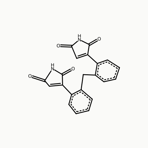 O=C1C=C(c2ccccc2Cc2ccccc2C2=CC(=O)NC2=O)C(=O)N1